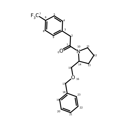 O=C(Cc1ccc(C(F)(F)F)cc1)N1CCCC1COCc1ccccc1